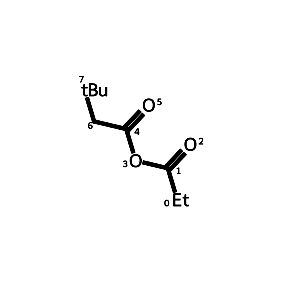 [CH2]CC(=O)OC(=O)CC(C)(C)C